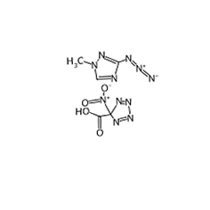 Cn1cnc(N=[N+]=[N-])n1.O=C(O)C1([N+](=O)[O-])N=NN=N1